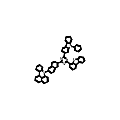 c1ccc(-n2c3ccccc3c3ccc(-c4nc(-c5ccc6cc(N7c8ccccc8-c8cccc9cccc7c89)ccc6c5)nc(-c5cccc6c5oc5ccccc56)n4)cc32)cc1